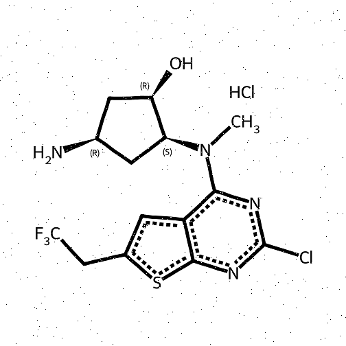 CN(c1nc(Cl)nc2sc(CC(F)(F)F)cc12)[C@H]1C[C@@H](N)C[C@H]1O.Cl